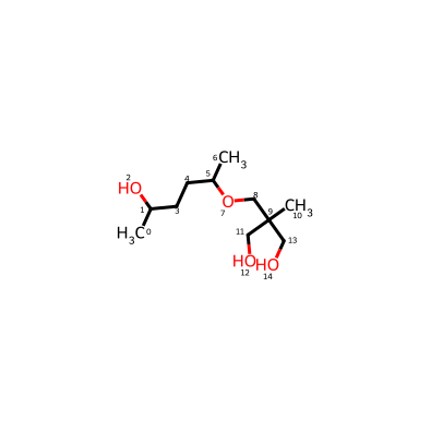 CC(O)CCC(C)OCC(C)(CO)CO